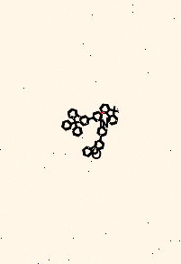 CC1(C)c2ccccc2-c2c(N(c3ccc(-c4ccc5oc6ccccc6c5c4)cc3)c3cccc(-c4ccc5c(c4)-c4ccccc4C5(c4ccccc4)c4ccccc4)c3)cccc21